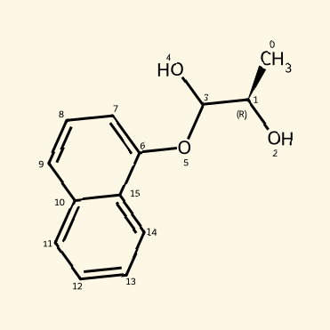 C[C@@H](O)C(O)Oc1cccc2ccccc12